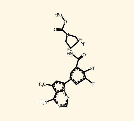 CCc1c(F)cc(-c2cc(C(F)(F)F)c3c(N)ncnn23)cc1C(=O)N[C@@H]1CN(C(=O)OC(C)(C)C)C[C@@H]1F